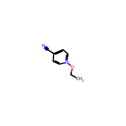 CCO[n+]1ccc(C#N)cc1